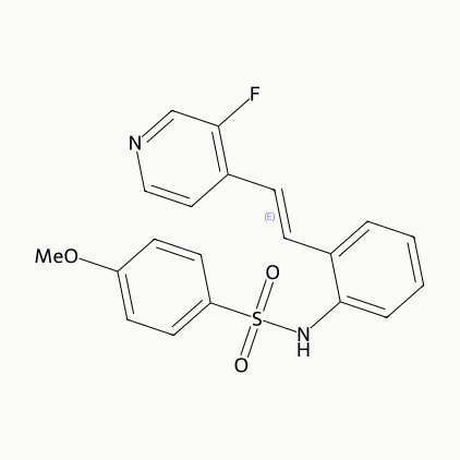 COc1ccc(S(=O)(=O)Nc2ccccc2/C=C/c2ccncc2F)cc1